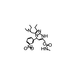 CCc1nc2n(c1CN(CC)CC)C(c1cccc([N+](=O)[O-])c1)C=C(COC(=O)NC)N2